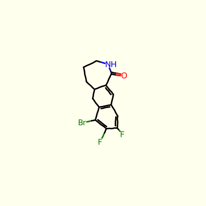 O=C1NCCCC2Cc3c(cc(F)c(F)c3Br)C=C12